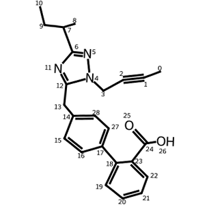 CC#CCn1nc(C(C)CC)nc1Cc1ccc(-c2ccccc2C(=O)O)cc1